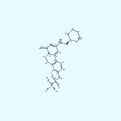 O=c1nc(NC[C@@H]2COCCO2)cc2n1CCc1cc(OS(=O)(=O)C(F)(F)F)ccc1-2